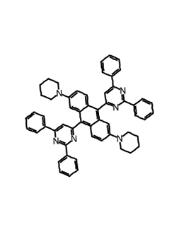 c1ccc(-c2cc(-c3c4ccc(N5CCCCC5)cc4c(-c4cc(-c5ccccc5)nc(-c5ccccc5)n4)c4ccc(N5CCCCC5)cc34)nc(-c3ccccc3)n2)cc1